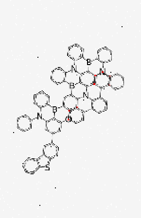 c1ccc(-c2cccc(-c3ccccc3)c2N2c3cc4c(cc3B3c5ccccc5N5c6ccccc6B6c7ccccc7N(c7ccccc7)c7cc2c3c5c76)B2c3ccccc3N(c3ccccc3)c3cc(-c5ccc6sc7ccccc7c6c5)cc(c32)O4)cc1